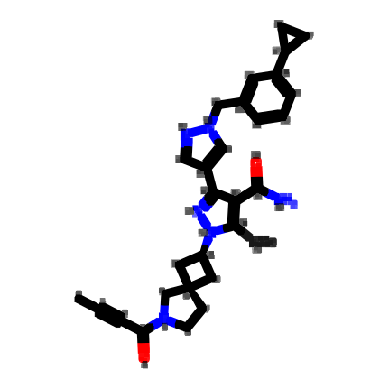 CC#CC(=O)N1CC[C@]2(C1)C[C@H](n1nc(-c3cnn(Cc4cccc(C5CC5)c4)c3)c(C(N)=O)c1NC)C2